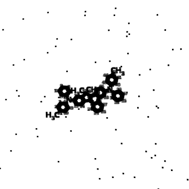 Cc1ccc(N(c2ccccc2)c2ccc3c(c2)C(C)(C)c2c-3c3ccccc3c3cc(N(c4ccccc4)c4ccc(C)cc4)ccc23)cc1